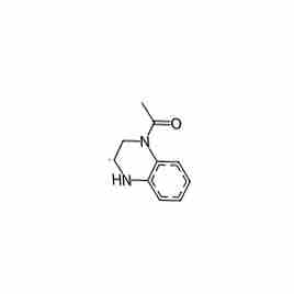 CC(=O)N1C[CH]Nc2ccccc21